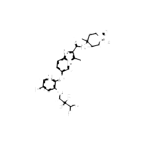 Cc1c(C(=O)NC2(C)CCS(=O)(=O)CC2)nc2ccc(Oc3ncc(F)cc3OCC(F)(F)C(F)F)cn12